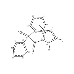 Cc1sc(C)c(C(=O)P(=O)(c2ccccc2)c2ccccc2)c1C